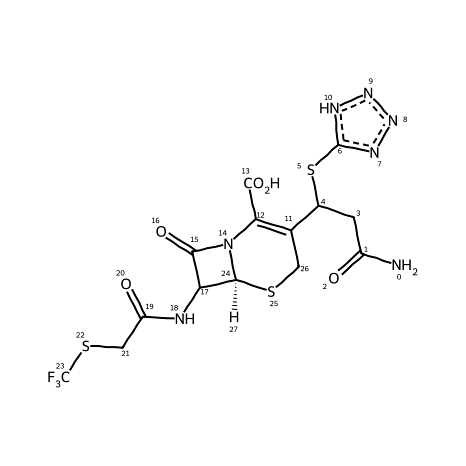 NC(=O)CC(Sc1nnn[nH]1)C1=C(C(=O)O)N2C(=O)C(NC(=O)CSC(F)(F)F)[C@@H]2SC1